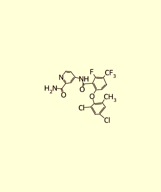 Cc1cc(Cl)cc(Cl)c1Oc1ccc(C(F)(F)F)c(F)c1C(=O)Nc1ccnc(C(N)=O)c1